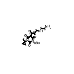 CCCCn1c(=O)n(C2(C)CC2)c(=O)c2c(C)c(CNCCN)sc21